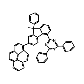 CC1(c2ccccc2)c2cc(-c3ccc4ccc5cccc6ccc3c4c56)ccc2-c2c(-c3nc(-c4ccccc4)nc(-c4ccccc4)n3)cccc21